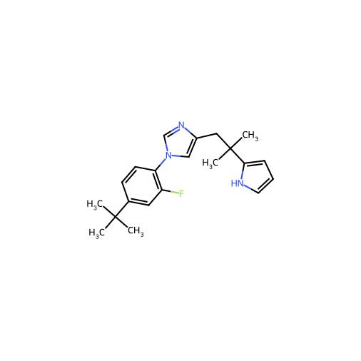 CC(C)(C)c1ccc(-n2cnc(CC(C)(C)c3ccc[nH]3)c2)c(F)c1